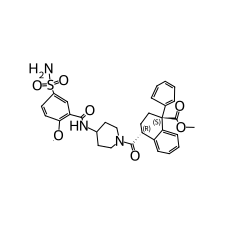 COC(=O)[C@]1(c2ccccc2)CC[C@@H](C(=O)N2CCC(NC(=O)c3cc(S(N)(=O)=O)ccc3OC)CC2)c2ccccc21